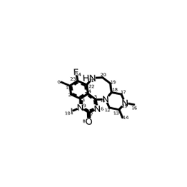 Cc1cc2c3c(nc(=O)n2I)N2CC(C)N(C)CC2CCNc3c1F